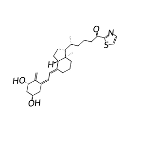 C=C1/C(=C\C=C2/CCC[C@]3(C)[C@@H]([C@H](C)CCCC(=O)c4nccs4)CC[C@@H]23)C[C@@H](O)C[C@@H]1O